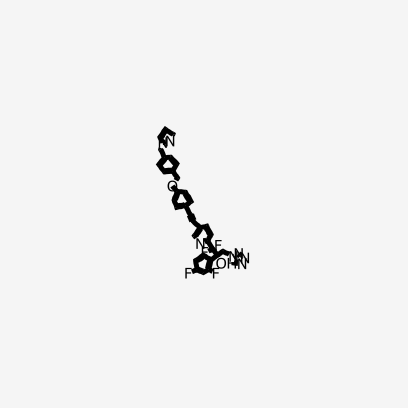 OC(Cn1cnnn1)(c1ccc(F)cc1F)C(F)(F)c1ccc(C#Cc2ccc(OCc3ccc(Cn4cccn4)cc3)cc2)cn1